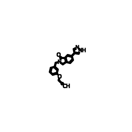 C#CCOc1cccc(CN2Cc3ccc(-c4cn[nH]c4)cc3C2=O)c1